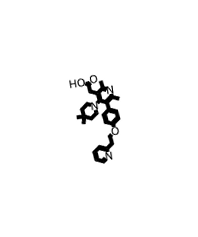 Cc1nc(C)c(-c2ccc(OCCc3ccccn3)cc2)c(N2CCC(C)(C)CC2)c1CC(=O)O